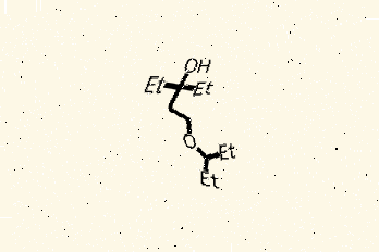 CCC(CC)OCCC(O)(CC)CC